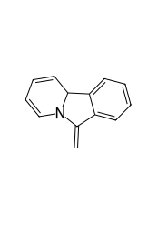 C=C1c2ccccc2C2C=CC=CN12